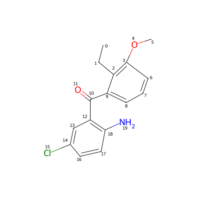 CCc1c(OC)cccc1C(=O)c1cc(Cl)ccc1N